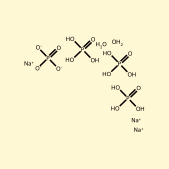 O.O.O=P(O)(O)O.O=P(O)(O)O.O=P(O)(O)O.O=P([O-])([O-])[O-].[Na+].[Na+].[Na+]